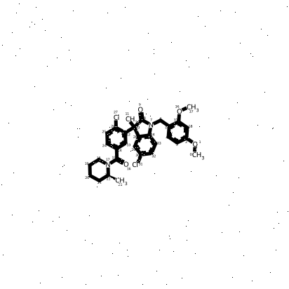 COc1ccc(CN2C(=O)C(C)(c3cc(C(=O)N4CCCC[C@@H]4C)ccc3Cl)c3cc(Cl)ccc32)c(OC)c1